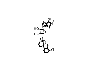 Nc1ncnc2c1ncn2[C@@H]1O[C@H](COP2(=S)OCCC(c3cccc(Cl)c3F)O2)[C@H](O)[C@@H]1O